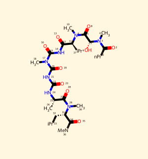 CCCC(=O)N(C)[C@H](O)C(=O)N(C)[C@H](C(=O)NC(=O)N(C)C(=O)NC(=O)N[C@@H](C)C(=O)N(C)[C@@H](CC(C)C)C(=O)NC)C(C)C